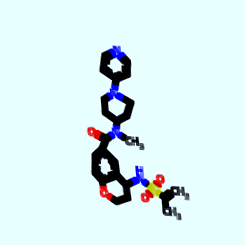 C=C(C)S(=O)(=O)NC1CCOc2ccc(C(=O)N(C)C3CCN(c4ccncc4)CC3)cc21